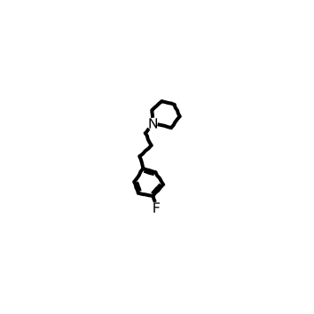 Fc1ccc(CCCN2CCCCC2)cc1